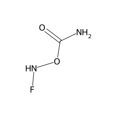 NC(=O)ONF